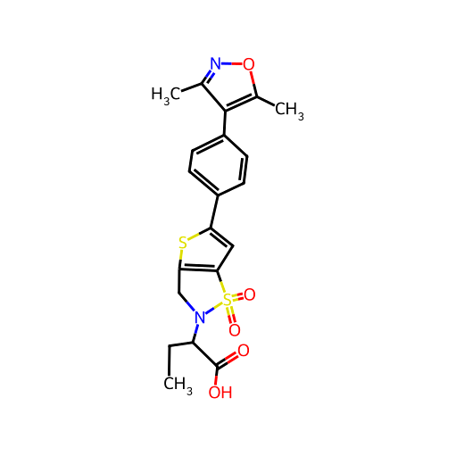 CCC(C(=O)O)N1Cc2sc(-c3ccc(-c4c(C)noc4C)cc3)cc2S1(=O)=O